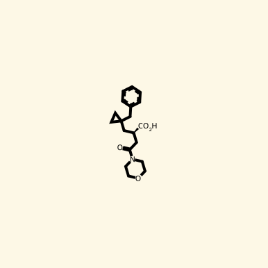 O=C(O)[C@@H](CC(=O)N1CCOCC1)CC1(Cc2ccccc2)CC1